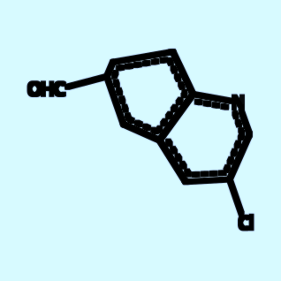 O=Cc1ccc2ncc(Cl)cc2c1